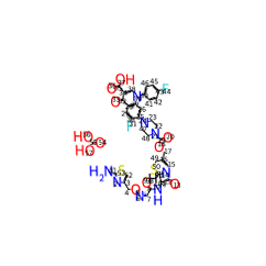 Nc1nc(CO/N=C\C(=O)N[C@@H]2C(=O)N3C=C(COC(=O)N4CCN(c5cc6c(cc5F)c(=O)c(C(=O)O)cn6-c5ccc(F)cc5)CC4)CS[C@H]23)cs1.O=C(O)O